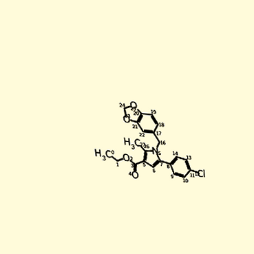 CCOC(=O)c1cc(-c2ccc(Cl)cc2)n(Cc2ccc3c(c2)OCO3)c1C